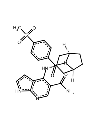 CS(=O)(=O)c1ccc(C(=O)N2[C@@H]3CC[C@H]2C[C@H](Nc2c(C(N)=O)cnc4[nH]ccc24)C3)cc1